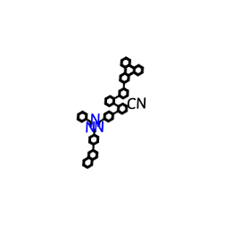 N#Cc1ccc(-c2ccc(-c3nc(-c4ccccc4)nc(-c4ccc(-c5ccc6ccccc6c5)cc4)n3)cc2)c(-c2ccccc2-c2cccc(-c3ccc4c5ccccc5c5ccccc5c4c3)c2)c1